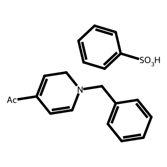 CC(=O)C1=CCN(Cc2ccccc2)C=C1.O=S(=O)(O)c1ccccc1